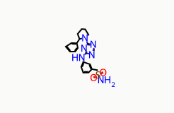 NS(=O)(=O)Cc1cccc(Nc2ncnc(N3CCCCC3c3ccccc3)n2)c1